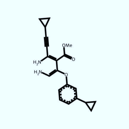 COC(=O)C(/C(=C\N)Oc1cccc(C2CC2)c1)=C(/N)C#CC1CC1